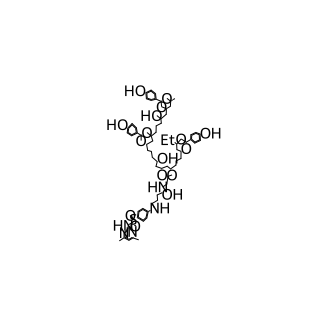 CCC1CC(CCCC2CC(CC(O)CCCC3CC(CCCC(O)CC4C[C@H](C)OC(c5ccc(O)cc5)O4)OC(c4ccc(O)cc4)O3)OC(CNC(O)CCCNc3ccc(S(=O)(=O)Nc4nc(C)cc(C)n4)cc3)O2)OC(c2ccc(O)cc2)O1